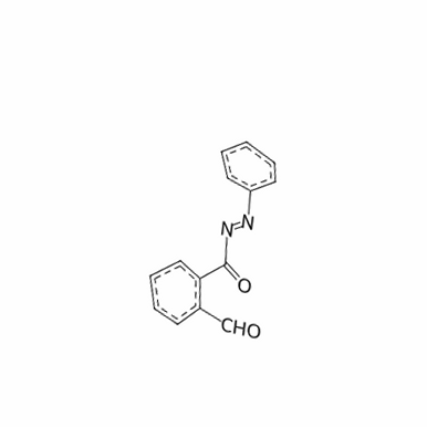 O=Cc1ccccc1C(=O)N=Nc1ccccc1